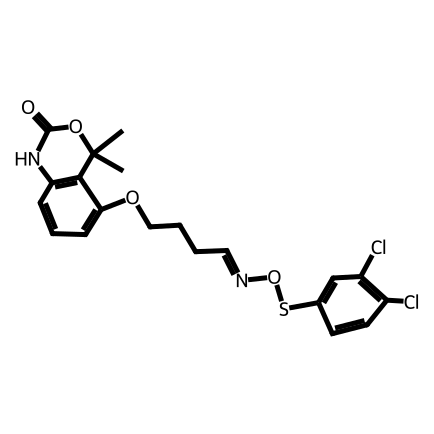 CC1(C)OC(=O)Nc2cccc(OCCCC=NOSc3ccc(Cl)c(Cl)c3)c21